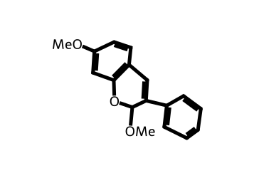 COc1ccc2c(c1)OC(OC)C(c1ccccc1)=C2